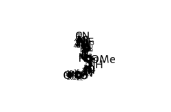 COc1cc2c(cc1Nc1ccc(OC3CCN(C4COC4)CC3)nn1)ncn2-c1ccc(C(F)F)c(-n2nc(C#N)cc2C)n1